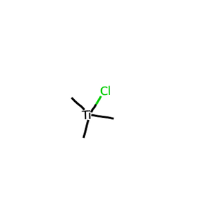 [CH3][Ti]([CH3])([CH3])[Cl]